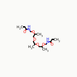 C=CC(=O)NCOC(C)COCC(C)OCC(C)OCNC(=O)C=C